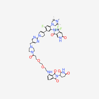 C[C@@H]1CN(c2cc(F)c(C3=CCN(c4ncc(CN5CCN(C(=O)CCOCCOCCNc6cccc7c6C(=O)N(C6CCC(=O)NC6=O)C7=O)CC5)cn4)CC3)cc2NC(=O)c2c[nH]c(=O)cc2C(F)(F)F)C[C@H](C)N1C